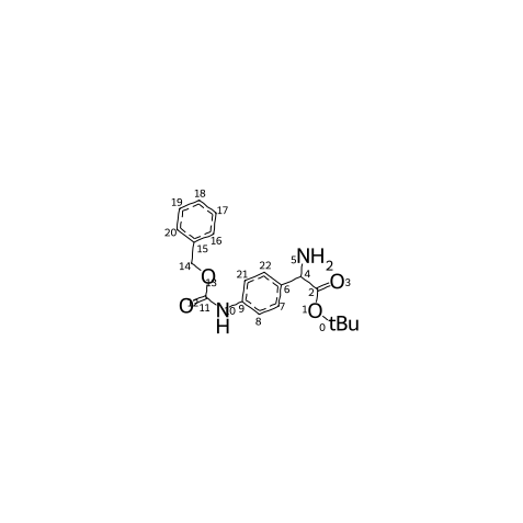 CC(C)(C)OC(=O)C(N)c1ccc(NC(=O)OCc2ccccc2)cc1